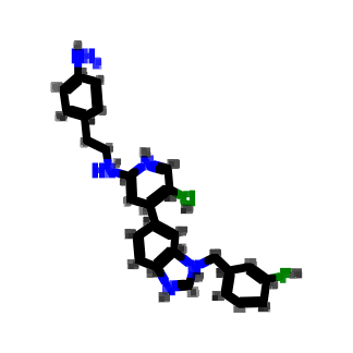 Nc1ccc(CCNc2cc(-c3ccc4ncn(Cc5cccc(F)c5)c4c3)c(Cl)cn2)cc1